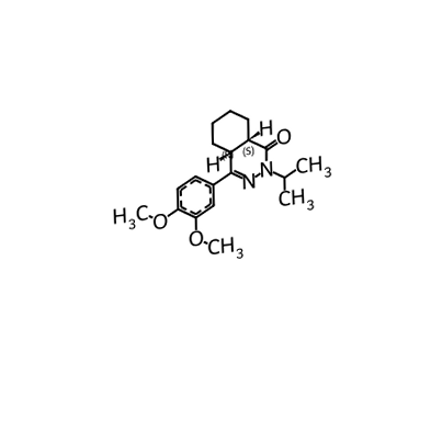 COc1ccc(C2=NN(C(C)C)C(=O)[C@H]3CCCC[C@@H]23)cc1OC